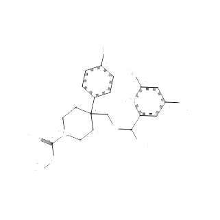 CC(OCC1(c2ccc(F)cc2)CCN(C(=O)OC(C)(C)C)CC1)c1cc(C(F)(F)F)cc(Br)n1